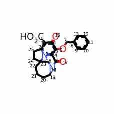 O=C(O)c1c2n3c(c(OCc4ccccc4)c1=O)C(=O)N1CCCCC3(CC2)C1